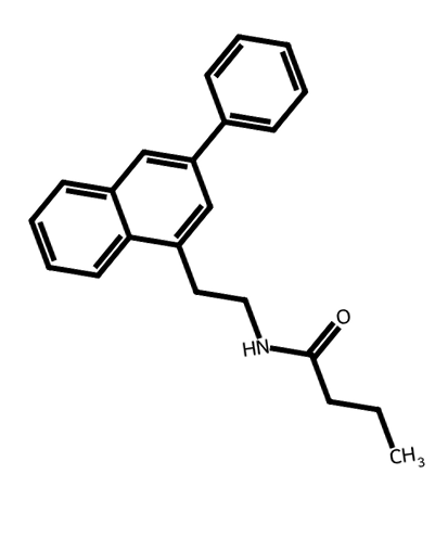 CCCC(=O)NCCc1cc(-c2ccccc2)cc2ccccc12